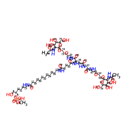 COP(=O)(O)OCC(CO)CCCCNC(=O)CCCCCCCCCCCNC(=O)CCCC(=O)N[C@@H](CCC(=O)NCC(=O)NCCOCCOC1OC(CO)C(O)C(O)C1NC(C)=O)C(=O)NCCOCCOC1OC(CO)C(O)C(O)C1NC(C)=O